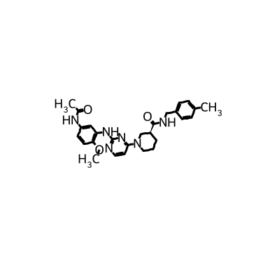 COc1ccc(NC(C)=O)cc1Nc1nccc(N2CCC[C@H](C(=O)NCc3ccc(C)cc3)C2)n1